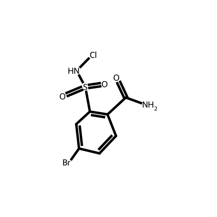 NC(=O)c1ccc(Br)cc1S(=O)(=O)NCl